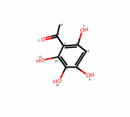 CC(=O)c1c(O)cc(O)c(O)c1O